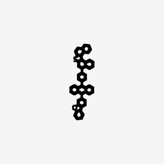 c1ccc2c(c1)ccc1sc3cc(-c4ccc(-c5c6ccccc6c(-c6ccc7c(c6)oc6ccccc67)c6ccccc56)cc4)c4ccccc4c3c12